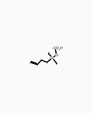 C=CCC[Si](C)(C)OC(=O)O